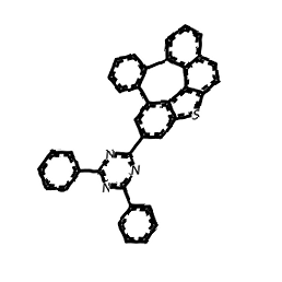 c1ccc(-c2nc(-c3ccccc3)nc(-c3cc4c5c(c3)sc3ccc6cccc(c6c35)-c3ccccc3-4)n2)cc1